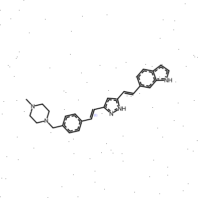 CN1CCN(Cc2ccc(/C=C/c3cc(C=Cc4ccc5cc[nH]c5c4)[nH]n3)cc2)CC1